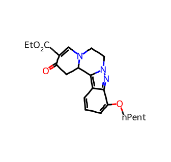 CCCCCOc1cccc2c3n(nc12)CCN1C=C(C(=O)OCC)C(=O)CC31